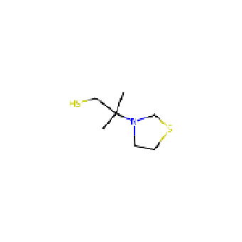 CC(C)(CS)N1CCSC1